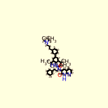 CCN(CC)CCCc1cccc(-c2cc(C(C)C)c(NC(=O)N(CCc3ccccc3)c3cc4cccnc4[nH]c3=O)c(C(C)C)c2)c1